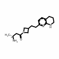 C[C@@H](N)CC(=O)N1CC(CCc2ccc3c(n2)NCCC3)C1